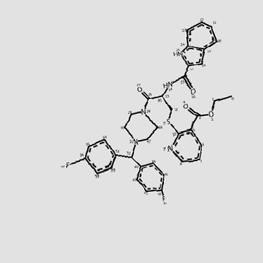 CCOC(=O)c1cccnc1SC[C@H](NC(=O)c1cc2ccccc2[nH]1)C(=O)N1CCN(C(c2ccc(F)cc2)c2ccc(F)cc2)CC1